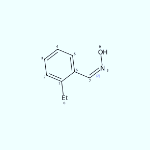 CCc1ccccc1/C=N\O